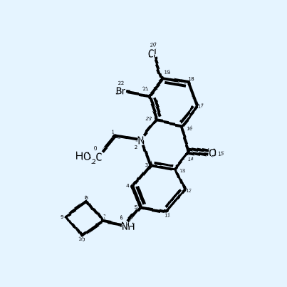 O=C(O)Cn1c2cc(NC3CCC3)ccc2c(=O)c2ccc(Cl)c(Br)c21